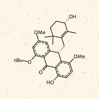 CCCCOc1cc(OC)cc2c1C(=O)c1c(O)ccc(OC)c1[C@H]2CC1=C(C)[C@@H](O)CCC1(C)C